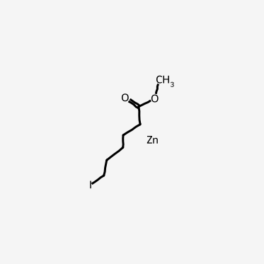 COC(=O)CCCCCI.[Zn]